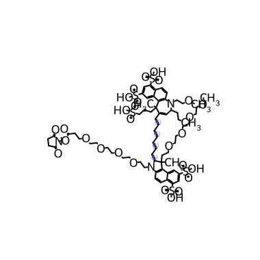 CCCC1C=C(/C=C/C=C/C=C/C=C2/N(CCOCCOCCOCCOCCC(=O)ON3C(=O)CCC3=O)c3ccc4c(S(=O)(=O)O)cc(S(=O)(=O)O)cc4c3C2(C)CCOCCOCCOCCOC)C(C)(CCCS(=O)(=O)O)c2c(ccc3c(S(=O)(=O)O)cc(S(=O)(=O)O)cc23)N1CCOC